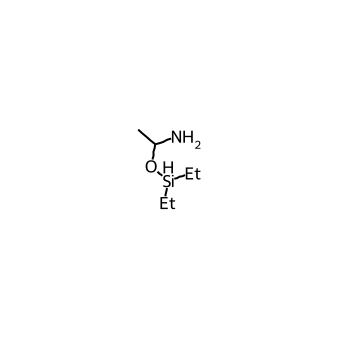 CC[SiH](CC)OC(C)N